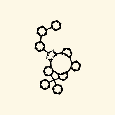 c1ccc(-c2cccc(-c3cccc(-c4nc5nc(n4)-c4cccc6c4-c4cc(ccc4C6(c4ccccc4)c4ccccc4)-c4ccccc4-c4cccc-5c4)c3)c2)cc1